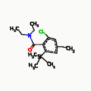 CCN(CC)C(=O)c1c(Cl)cc(C)cc1[Si](C)(C)C